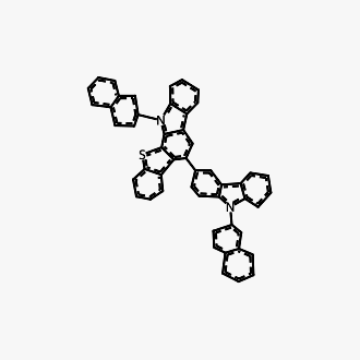 c1ccc2cc(-n3c4ccccc4c4cc(-c5cc6c7ccccc7n(-c7ccc8ccccc8c7)c6c6sc7ccccc7c56)ccc43)ccc2c1